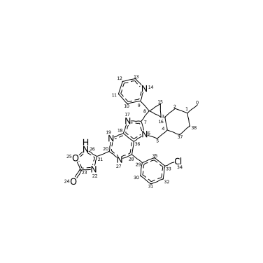 CC1CCC(Cn2c(C3(c4ccccn4)CC3)nc3nc(-c4nc(=O)o[nH]4)nc(-c4cccc(Cl)c4)c32)CC1